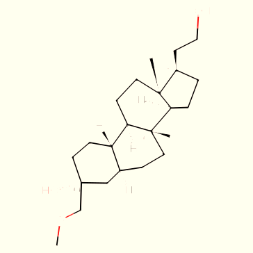 COC[C@@]1(O)CC[C@H]2[C@@H](CC[C@@H]3[C@@H]2CC[C@]2(C)[C@@H](CCO)CC[C@@H]32)C1